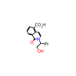 CC(C)C(CO)n1ccc2c(C(=O)O)cccc2c1=O